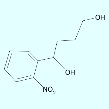 O=[N+]([O-])c1ccccc1C(O)CCCO